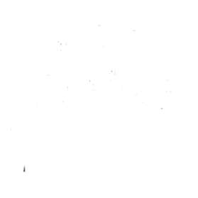 C[C@H]1CC[C@H](Oc2ccc(-c3csc(N(Cc4cccc(C(=O)[O-])c4)Cc4ccco4)n3)cc2)CC1.[Na+]